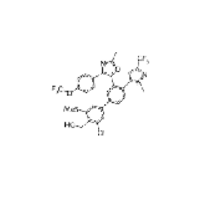 CSc1cc(-c2ccc(-c3cc(C(F)(F)F)nn3C)c(-c3oc(C)nc3-c3ccc(OC(F)(F)F)cc3)c2)cc(Cl)c1CO